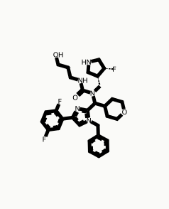 O=C(NC[CH]CO)N(C[C@@H]1CNC[C@@H]1F)C(c1nc(-c2cc(F)ccc2F)cn1Cc1ccccc1)C1CCOCC1